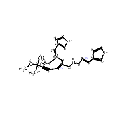 CCN(C/C(=C\C#CC(C)(C)OC)COC/C=C/c1ccsc1)Cc1cscn1